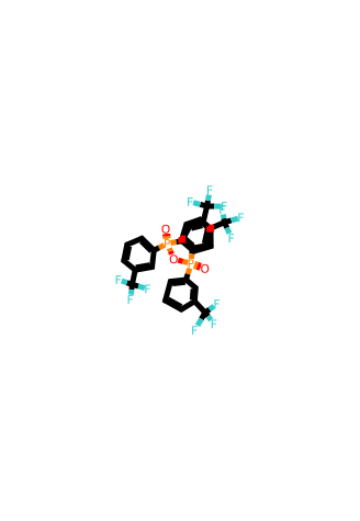 O=P(OP(=O)(c1cccc(C(F)(F)F)c1)c1cccc(C(F)(F)F)c1)(c1cccc(C(F)(F)F)c1)c1cccc(C(F)(F)F)c1